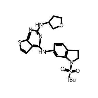 CC(C)(C)S(=O)(=O)N1CCc2ccc(Nc3nc(NC4CCOC4)nc4sccc34)cc21